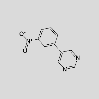 O=[N+]([O-])c1cccc(-c2cncnc2)c1